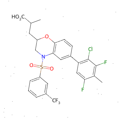 Cc1c(F)cc(-c2ccc3c(c2)N(S(=O)(=O)c2cccc(C(F)(F)F)c2)CC(CC(C)C(=O)O)O3)c(Cl)c1F